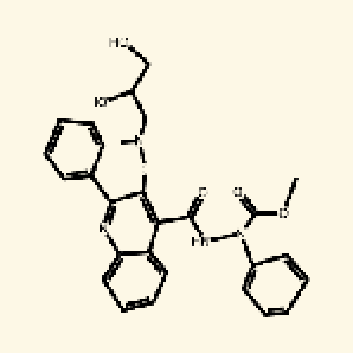 COC(=O)N(NC(=O)c1c(CN(C)CC(O)CO)c(-c2ccccc2)nc2ccccc12)c1ccccc1